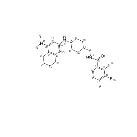 Cc1ccc(C(=O)NCC2CCC(Nc3nc4c(c(N(C)C)n3)CCCC4)CC2)c(F)c1F